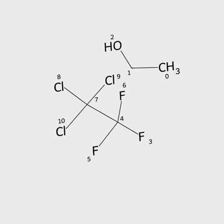 CCO.FC(F)(F)C(Cl)(Cl)Cl